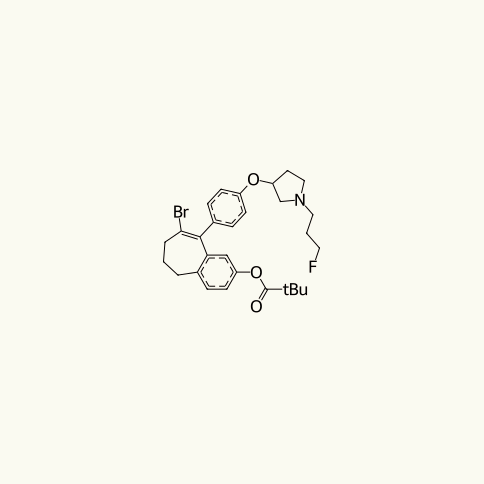 CC(C)(C)C(=O)Oc1ccc2c(c1)C(c1ccc(OC3CCN(CCCF)C3)cc1)=C(Br)CCC2